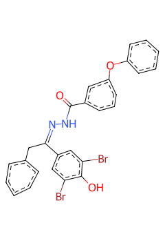 O=C(N/N=C(/Cc1ccccc1)c1cc(Br)c(O)c(Br)c1)c1cccc(Oc2ccccc2)c1